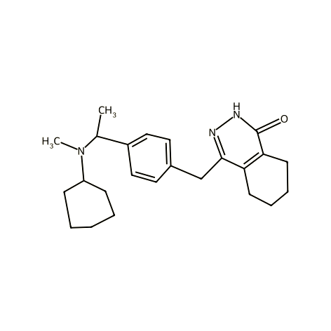 CC(c1ccc(Cc2n[nH]c(=O)c3c2CCCC3)cc1)N(C)C1CCCCC1